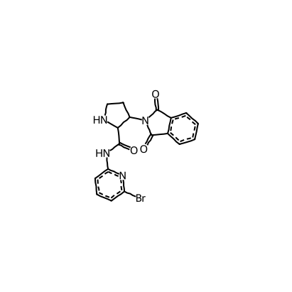 O=C(Nc1cccc(Br)n1)C1NCCC1N1C(=O)c2ccccc2C1=O